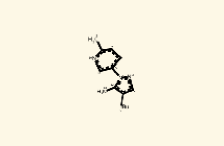 CCCCc1cnn(-c2ccc(C)nc2)c1N